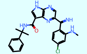 CNc1cc(Cl)ccc1C(=N)c1cnc2[nH]cc(C(=O)NC(C)(C)c3ccccc3)c2n1